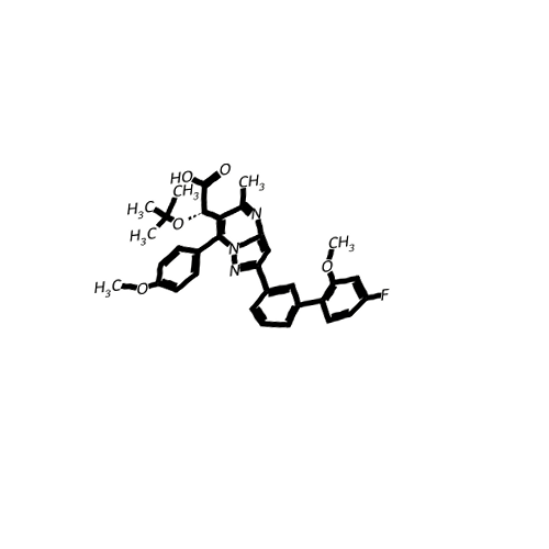 COc1ccc(-c2c([C@H](OC(C)(C)C)C(=O)O)c(C)nc3cc(-c4cccc(-c5ccc(F)cc5OC)c4)nn23)cc1